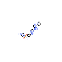 Cc1cccc(-c2nccc(Nc3ccnc(Nc4ccc(NS(=O)(=O)N5CCNCC5)cc4)n3)n2)n1